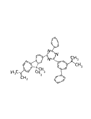 C=C(C)c1cc(-c2ccccc2)cc(-c2nc(-c3ccccc3)nc(-c3ccc4c(c3)C(C)(C)c3cc(C(=C)C)ccc3-4)n2)c1